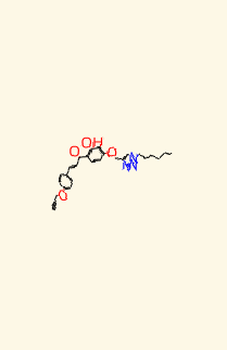 C#CCOc1ccc(/C=C/C(=O)c2ccc(OCc3cn(CCCCCC)nn3)cc2O)cc1